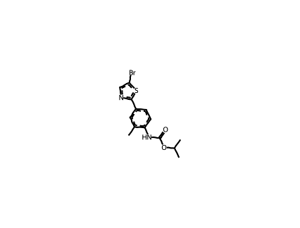 Cc1cc(-c2ncc(Br)s2)ccc1NC(=O)OC(C)C